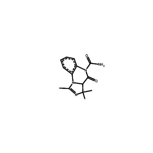 CC1=NC(C)(C)C2C(=O)N(C(N)=O)c3ccccc3N12